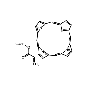 C1=Cc2cc3ccc(cc4nc(cc5ccc(cc1n2)[nH]5)C=C4)[nH]3.C=CC(=O)OCCCCC